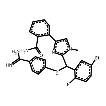 CCc1ccc(F)c(C(Nc2ccc(C(=N)N)cc2)c2nc(-c3ccccc3C(N)=O)cn2C)c1